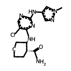 Cn1cc(Nc2ncc(Cl)c(N[C@H]3CCCC[C@H]3C(N)=O)n2)cn1